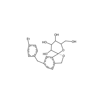 CCc1ccc(Cc2ccc3c(c2)[C@]2(OC3)OC(CO)C(O)C(O)C2O)cc1